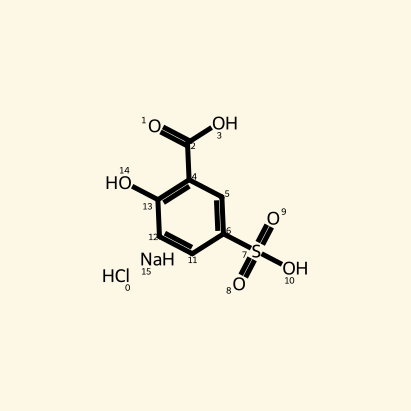 Cl.O=C(O)c1cc(S(=O)(=O)O)ccc1O.[NaH]